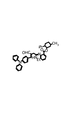 CCN/C(C/C(C=O)=C/c1ccc(N(c2ccccc2)c2ccccc2)cc1)=N\c1ccccc1C(=O)OC1CC(C)CCC1C(C)C